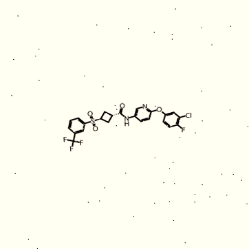 O=C(Nc1ccc(Oc2ccc(F)c(Cl)c2)nc1)[C@H]1C[C@H](S(=O)(=O)c2cccc(C(F)(F)F)c2)C1